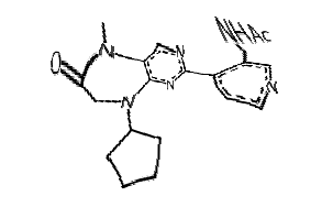 CC(=O)Nc1cnccc1-c1ncc2c(n1)N(C1CCCC1)CC(=O)N2C